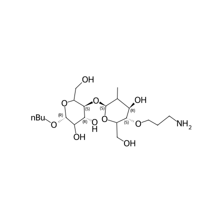 CCCCO[C@@H]1OC(CO)[C@@H](O[C@@H]2OC(CO)[C@@H](OCCCN)[C@H](O)C2C)[C@H](O)C1O